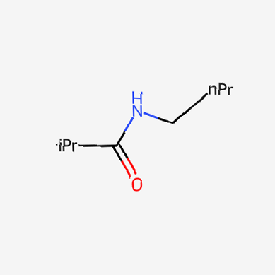 CCCCNC(=O)[C](C)C